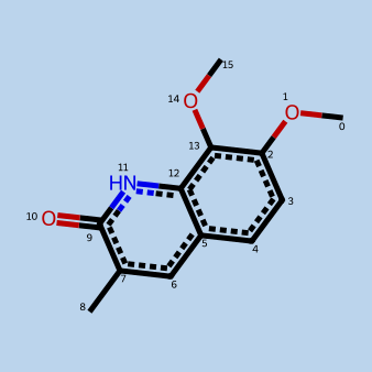 COc1ccc2cc(C)c(=O)[nH]c2c1OC